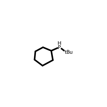 CC(C)(C)PC1CCCCC1